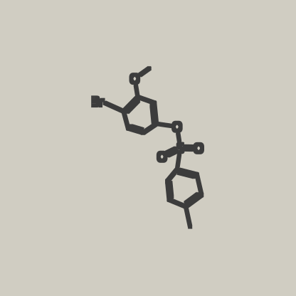 COc1cc(OS(=O)(=O)c2ccc(C)cc2)ccc1Br